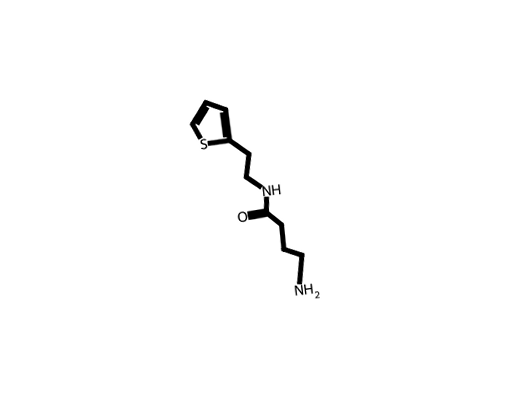 NCCCC(=O)NCCc1cccs1